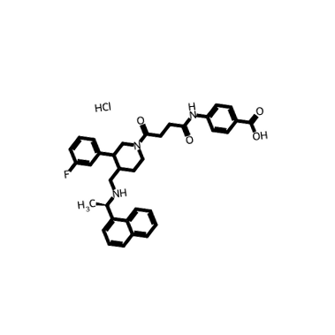 C[C@@H](NCC1CCN(C(=O)CCC(=O)Nc2ccc(C(=O)O)cc2)CC1c1cccc(F)c1)c1cccc2ccccc12.Cl